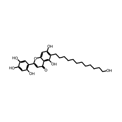 O=c1cc(-c2cc(O)c(O)cc2O)oc2cc(O)c(CCCCCCCCCCCCO)c(O)c12